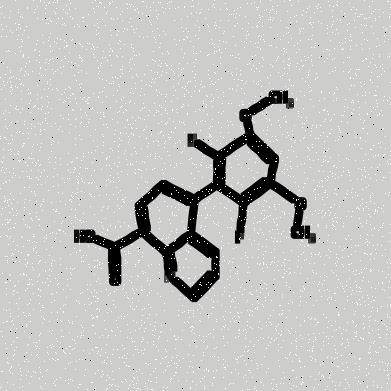 COc1cc(OC)c(F)c(-c2ccc(C(=O)O)c3ncccc23)c1F